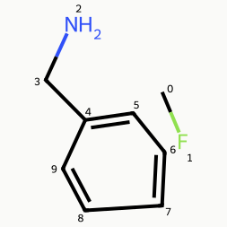 CF.NCc1ccccc1